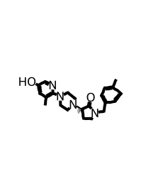 Cc1ccc(CN2CC[C@@H](N3CCN(c4ncc(O)cc4C)CC3)C2=O)cc1